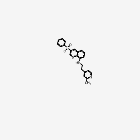 Cc1cc(CCNc2cccc3cc(S(=O)(=O)c4ccccc4)cnc23)ccn1